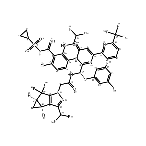 N=C(NS(=O)(=O)C1CC1)c1c(Cl)ccc(-n2c([C@H](Cc3cc(F)cc(F)c3)NC(=O)Cn3nc(C(F)F)c4c3C(F)(F)[C@@H]3C[C@H]43)nc(-c3cccc(C(F)(F)F)n3)cc2=O)c1NCC(F)F